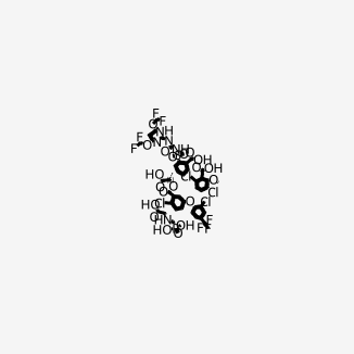 COc1c(Cl)ccc(Cl)c1C(=O)O.C[C@H](OC(=O)c1cc(Oc2ccc(C(F)(F)F)cc2Cl)ccc1Cl)C(=O)O.O=C(Nc1nc(OC(F)F)cc(OC(F)F)n1)NS(=O)(=O)c1ccccc1C(=O)O.O=C(O)CNCP(=O)(O)O